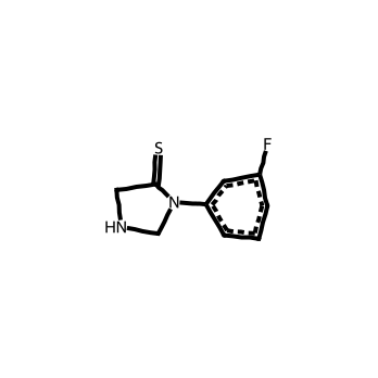 Fc1cccc(N2CNCC2=S)c1